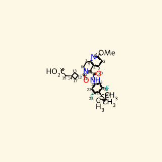 COc1ccc2c(n1)CCN(C(=O)[C@H]1C[C@H](CC(=O)O)C1)[C@H]2C(=O)Nc1cc(F)c([Si](C)(C)C)c(F)c1